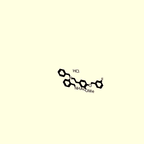 COc1cc(CCN(Cc2ccccc2)c2ccccc2CNC(C)=O)ccc1OCc1cccc(F)c1.Cl